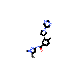 Cc1ccc(C(=O)Nc2cc(C(C)(C)C)n(C)n2)cc1[C@@H]1CCN(c2cncnc2)C1